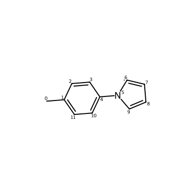 Cc1ccc(-n2[c]ccc2)cc1